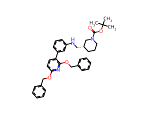 CC(C)(C)OC(=O)N1CCC[C@H](CNc2cccc(-c3ccc(OCc4ccccc4)nc3OCc3ccccc3)c2)C1